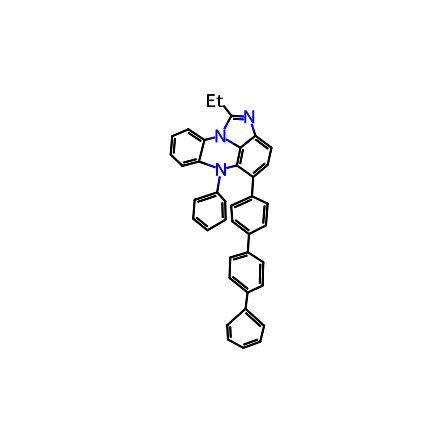 CCc1nc2ccc(-c3ccc(-c4ccc(-c5ccccc5)cc4)cc3)c3c2n1-c1ccccc1N3c1ccccc1